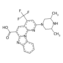 CC1CN(c2cc(C(F)(F)F)c3cc(C(=O)O)c4nc5ccccc5n4c3n2)CC(C)N1